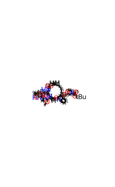 C=C[C@@H]1C[C@]1(NC(=O)[C@@H]1C[C@@H]2CN1C(=O)[C@H](C(C)(C)C)NC(=O)O[C@@H]1C[C@H]1CCCCCc1c(nc3ccccc3c1OC[C@H]1CN(C(=O)OC(C)(C)C)CCO1)O2)C(=O)NS(=O)(=O)C1(C)CC1